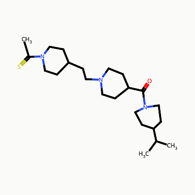 CC(=S)N1CCC(CCN2CCC(C(=O)N3CCC(C(C)C)CC3)CC2)CC1